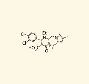 CCn1c(Cn2nc(C)cc2C(F)(F)F)cc(=O)c(C(=O)O)c1-c1ccc(Cl)c(Cl)c1